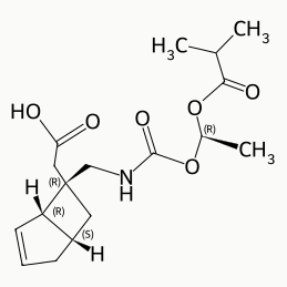 CC(C)C(=O)O[C@@H](C)OC(=O)NC[C@@]1(CC(=O)O)C[C@@H]2CC=C[C@@H]21